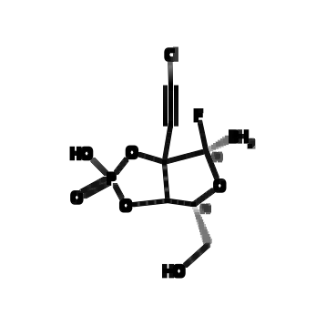 B[C@]1(F)O[C@H](CO)C2OP(=O)(O)OC21C#CCl